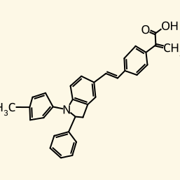 C=C(C(=O)O)c1ccc(C=Cc2ccc3c(c2)CC(c2ccccc2)N3c2ccc(C)cc2)cc1